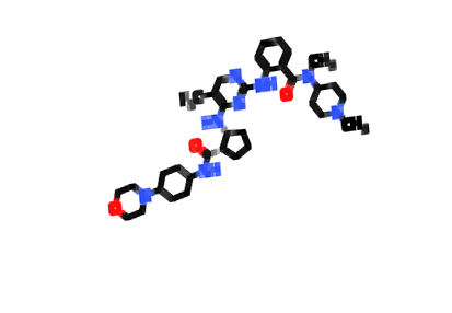 CN1CCC(N(C)C(=O)c2ccccc2Nc2ncc(C(F)(F)F)c(N[C@@H]3CCC[C@@H]3C(=O)NC3CCC(N4CCOCC4)CC3)n2)CC1